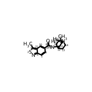 Cc1snc2ccc(C(=O)N[C@@H]3C4CCN(CC4)[C@H]3C)cc12